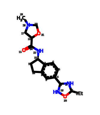 CCC1NC(c2ccc3c(c2)CC[C@H]3NC(=O)C2CN(C)CO2)NO1